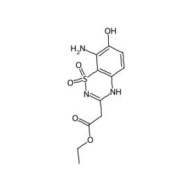 CCOC(=O)CC1=NS(=O)(=O)c2c(ccc(O)c2N)N1